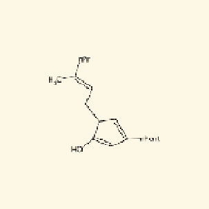 CCCCCC1=CC(C/C=C(\C)CCC)C(O)=C1